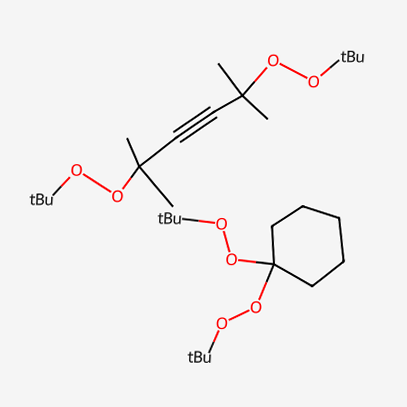 CC(C)(C)OOC(C)(C)C#CC(C)(C)OOC(C)(C)C.CC(C)(C)OOC1(OOC(C)(C)C)CCCCC1